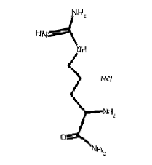 Cl.N=C(N)NCCCC(N)C(N)=O